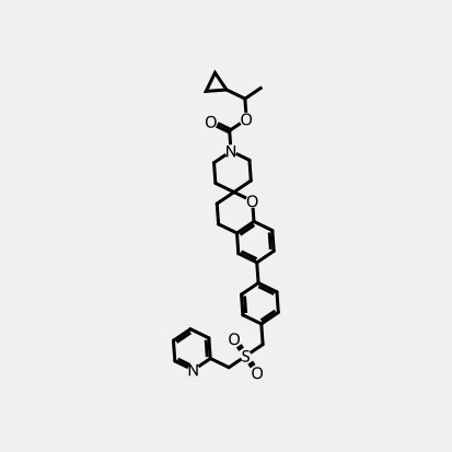 CC(OC(=O)N1CCC2(CCc3cc(-c4ccc(CS(=O)(=O)Cc5ccccn5)cc4)ccc3O2)CC1)C1CC1